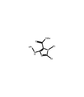 CCCNc1nc(CC)n(CC)c1C(=O)OC